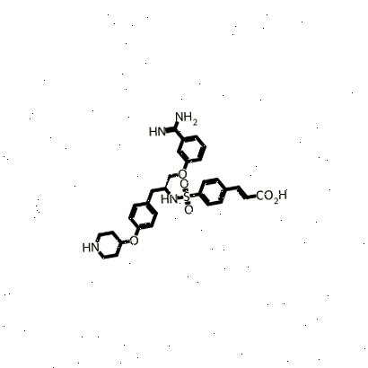 N=C(N)c1cccc(OC[C@H](Cc2ccc(OC3CCNCC3)cc2)NS(=O)(=O)c2ccc(/C=C/C(=O)O)cc2)c1